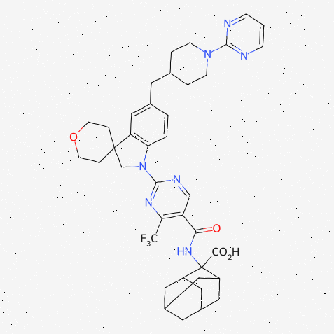 O=C(NC1(C(=O)O)C2CC3CC(C2)CC1C3)c1cnc(N2CC3(CCOCC3)c3cc(CC4CCN(c5ncccn5)CC4)ccc32)nc1C(F)(F)F